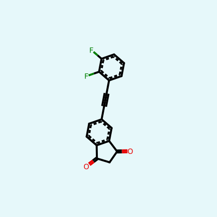 O=C1CC(=O)c2cc(C#Cc3cccc(F)c3F)ccc21